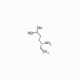 C=CC(N)CCC(O)O